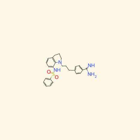 N=C(N)c1ccc(CCCN2CCCc3cccc(NS(=O)(=O)c4ccccc4)c32)cc1